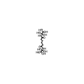 O=C(CCCCC(=O)NC(O)(O)C(O)O)NC(O)(O)C(O)O